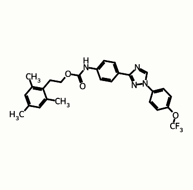 Cc1cc(C)c(CCOC(=O)Nc2ccc(-c3ncn(-c4ccc(OC(F)(F)F)cc4)n3)cc2)c(C)c1